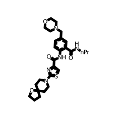 CCCNC(=O)c1cc(CN2CCOCC2)ccc1NC(=O)c1csc(N2CCC3(CCCO3)CC2)n1